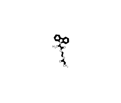 C=CC(=O)OCCOC(=O)C(C)n1c2ccccc2c2ccccc21